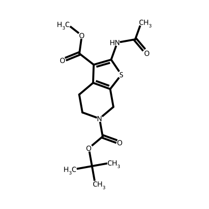 COC(=O)c1c(NC(C)=O)sc2c1CCN(C(=O)OC(C)(C)C)C2